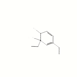 CCC1=CC(N)(CC)C(N)C=C1